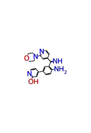 N=C(c1ccnc(N2CCOCC2)c1)c1cc(-c2ccnc(O)c2)ccc1N